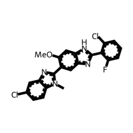 COc1cc2[nH]c(-c3c(F)cccc3Cl)nc2cc1-c1nc2cc(Cl)ccc2n1C